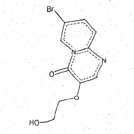 O=c1c(OCCO)cnc2ccc(Br)cn12